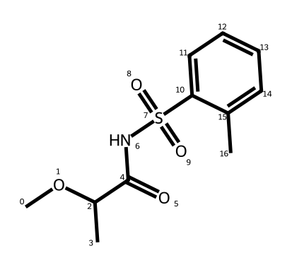 COC(C)C(=O)NS(=O)(=O)c1ccccc1C